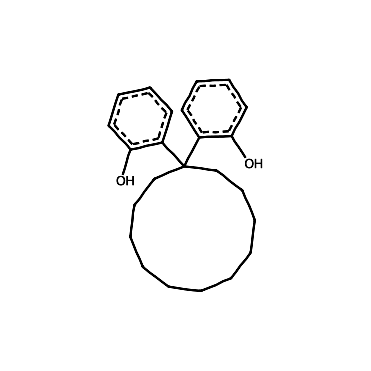 Oc1ccccc1C1(c2ccccc2O)CCCCCCCCCCC1